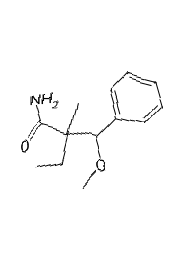 CCC(C)(C(N)=O)C(OC)c1ccccc1